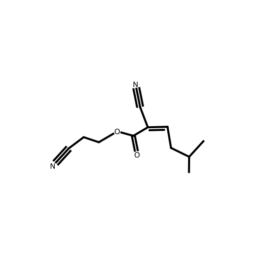 CC(C)CC=C(C#N)C(=O)OCCC#N